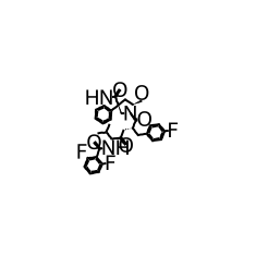 CC(C)C(NC(=O)c1c(F)cccc1F)C(=O)C[C@@H](Cc1ccc(F)cc1)C(=O)N1C[C@]2(C[C@H]1C=O)C(=O)Nc1ccccc12